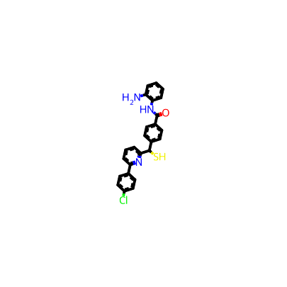 Nc1ccccc1NC(=O)c1ccc(C(S)c2cccc(-c3ccc(Cl)cc3)n2)cc1